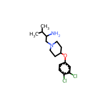 CC(C)C(N)CN1CCC(Oc2ccc(Cl)c(Cl)c2)CC1